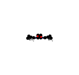 CN1c2ccccc2C2(CCCC2)c2ccc(-c3ccc(/C=C/c4ccc5c(c4)C4(c6ccccc6-c6ccccc64)c4cc(/C=C/c6ccc(-c7ccc8c(c7)N(C)c7ccccc7C87CCCC7)cc6)ccc4-5)cc3)cc21